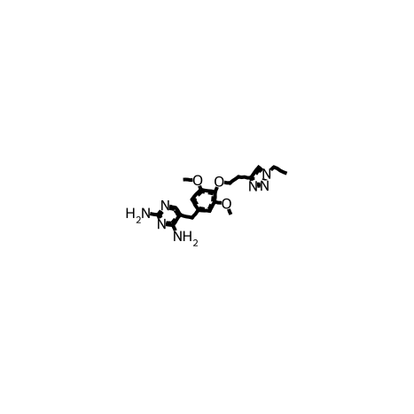 CCn1cc(CCOc2c(OC)cc(Cc3cnc(N)nc3N)cc2OC)nn1